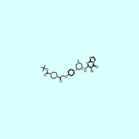 CN1C[C@H](Nc2nc3sccn3c(=O)c2Br)C[C@H](c2ccc(OCC(=O)N3CCN(C(=O)OC(C)(C)C)CC3)cc2)C1